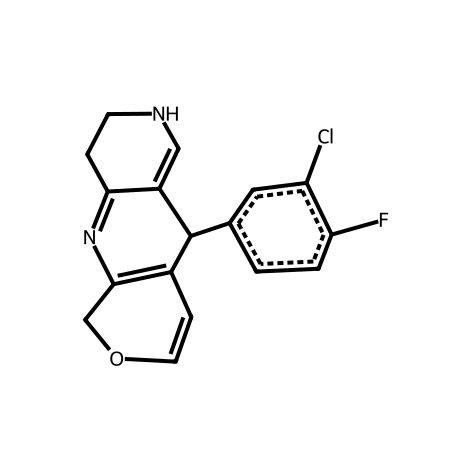 Fc1ccc(C2C3=CNCCC3=NC3=C2C=COC3)cc1Cl